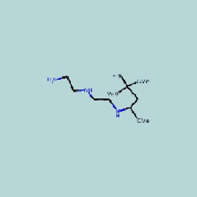 COC(CC([SiH3])(OC)OC)NCCNCCN